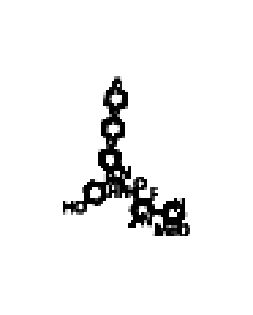 COc1ccncc1-c1nc(C)cc(C(=O)Nc2nc3cc(N4CCC(N5CCN(C)CC5)CC4)ccc3n2[C@H]2CC[C@@H](O)CC2)c1F